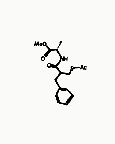 COC(=O)[C@H](C)NC(=O)C(CSC(C)=O)Cc1ccccc1